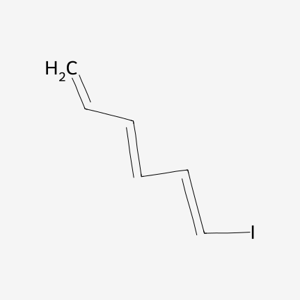 C=C/C=C/C=C/I